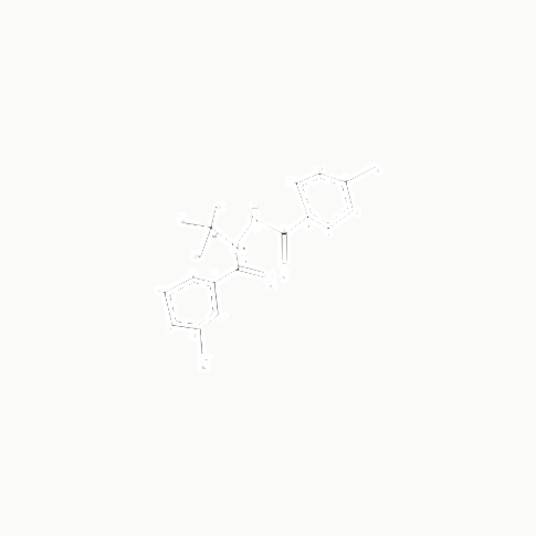 Cc1ccc(C(=O)NN(C(=O)c2cccc(Br)c2)C(C)(C)C)cc1